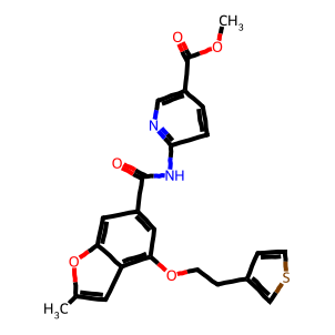 COC(=O)c1ccc(NC(=O)c2cc(OCCc3ccsc3)c3cc(C)oc3c2)nc1